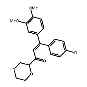 COc1ccc(C(=CC(=O)C2CNCCO2)c2ccc(Cl)cc2)cc1OC